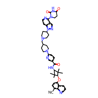 CC1(C)[C@H](NC(=O)c2ccc(N3CCC(CN4CCC(n5ncc6c(N7CCC(=O)NC7=O)nccc65)CC4)CC3)nc2)C(C)(C)[C@H]1Oc1ccc(C#N)c2ncccc12